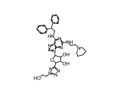 OCCn1nnc(C2OC(n3cnc4c(NCC(c5ccccc5)c5ccccc5)nc(NCCN5CCCCC5)nc43)C(O)C2O)n1